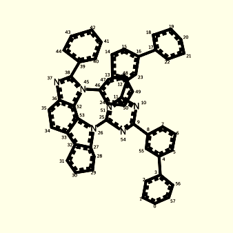 c1ccc(-c2cccc(-c3nc(-c4cccc(-c5ccccc5)c4)nc(-n4c5ccccc5c5ccc6nc(-c7ccccc7)n(-c7ccccc7)c6c54)n3)c2)cc1